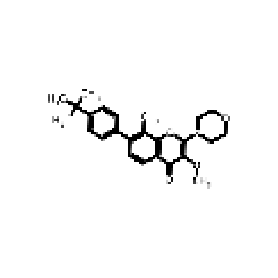 COc1c(N2CCOCC2)oc2c(C)c(-c3ccc(C(C)(C)C)cc3)ccc2c1=O